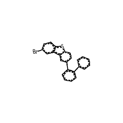 Brc1ccc2sc3ccc(-c4ccccc4-c4ccccc4)cc3c2c1